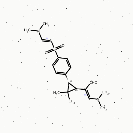 CN(C)/C=C(\C=O)[C@@H]1[C@@H](c2ccc(S(=O)(=O)/N=C/N(C)C)cc2)C1(C)C